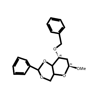 CO[C@@H]1C[C@@H](OCc2ccccc2)C2OC(c3ccccc3)OCC2O1